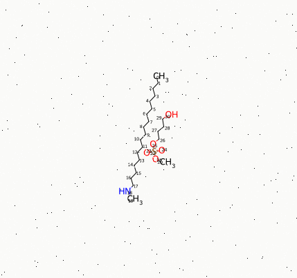 CCCCCCCCCCCCCCCCCCNC.COS(=O)(=O)OCCCCO